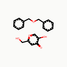 O=c1cc(CO)occ1O.c1ccc(COCc2ccccc2)cc1